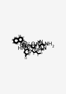 CCCCCOC(=O)C(CC(C)C)NP(=O)(OC[C@@H]1C[C@@H](O)[C@H](n2cnc3c(N)ncnc32)O1)Oc1cccc2ccccc12